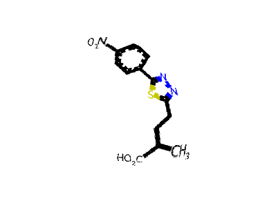 CC(CCc1nnc(-c2ccc([N+](=O)[O-])cc2)s1)C(=O)O